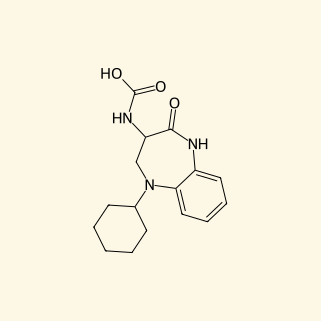 O=C(O)NC1CN(C2CCCCC2)c2ccccc2NC1=O